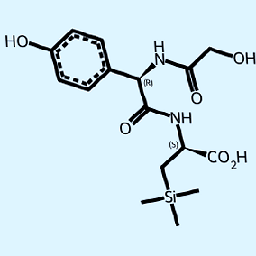 C[Si](C)(C)C[C@@H](NC(=O)[C@H](NC(=O)CO)c1ccc(O)cc1)C(=O)O